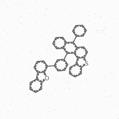 c1ccc(-c2c3ccccc3c(-c3cccc(-c4cccc5c4oc4ccccc45)c3)c3c2ccc2sc4ccccc4c23)cc1